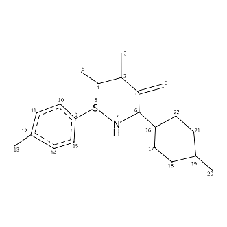 C=C(C(C)CC)C(NSc1ccc(C)cc1)C1CCC(C)CC1